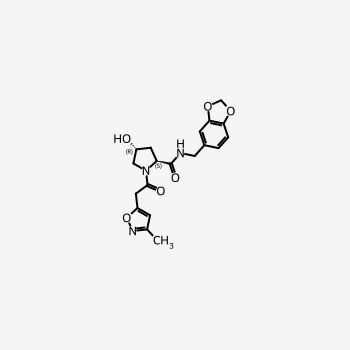 Cc1cc(CC(=O)N2C[C@H](O)C[C@H]2C(=O)NCc2ccc3c(c2)OCO3)on1